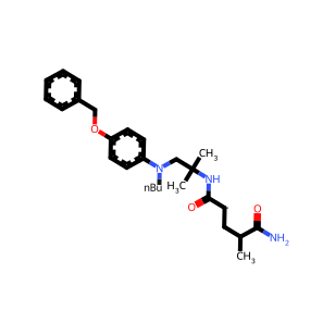 CCCCN(CC(C)(C)NC(=O)[CH]CC(C)C(N)=O)c1ccc(OCc2ccccc2)cc1